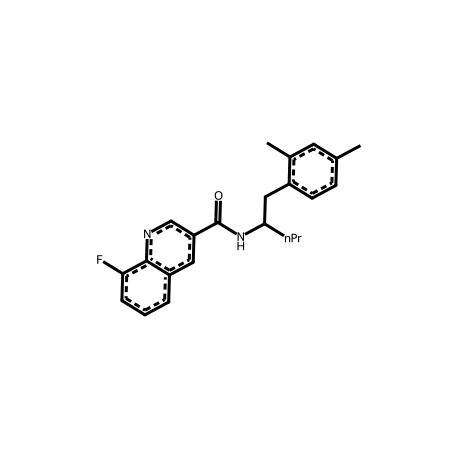 CCCC(Cc1ccc(C)cc1C)NC(=O)c1cnc2c(F)cccc2c1